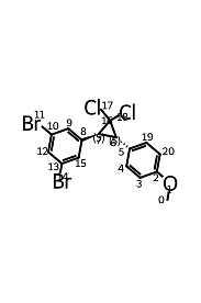 COc1ccc([C@@H]2[C@@H](c3cc(Br)cc(Br)c3)C2(Cl)Cl)cc1